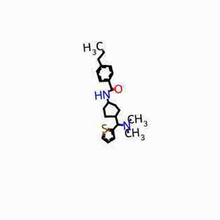 CCCc1ccc(C(=O)NC2CCC(C(c3cccs3)N(C)C)CC2)cc1